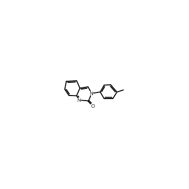 Cc1ccc(-n2cc3ccccc3nc2=O)cc1